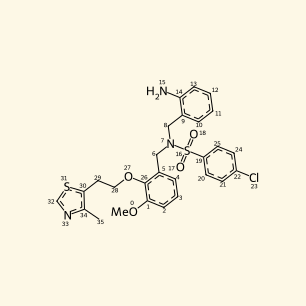 COc1cccc(CN(Cc2ccccc2N)S(=O)(=O)c2ccc(Cl)cc2)c1OCCc1scnc1C